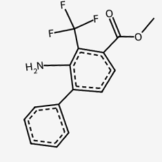 COC(=O)c1ccc(-c2ccccc2)c(N)c1C(F)(F)F